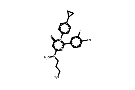 CN(CCCN)c1cc(=O)n(-c2ccc(C3CC3)cc2)c(-c2ccc(C#N)c(F)c2)n1